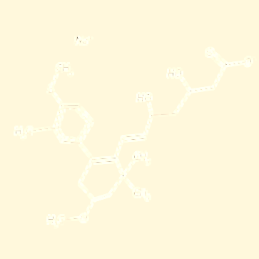 COC1CC(c2ccc(SC)c(C)c2)=C(/C=C/C(O)CC(O)CC(=O)[O-])C(C)(C)C1.[Na+]